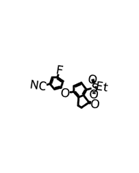 CCS(=O)(=O)c1ccc(Oc2cc(F)cc(C#N)c2)c2c1C(=O)CC2